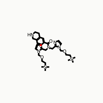 C[Si](C)(C)CCOCn1ccnc1CN(Cc1nccn1COCC[Si](C)(C)C)C(=O)c1ccc2c(c1)CCNC2